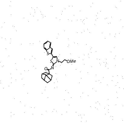 COCCn1cc(-c2cc3ccccc3s2)s/c1=N\C(=O)C12CC3CC(CC(C3)C1)C2